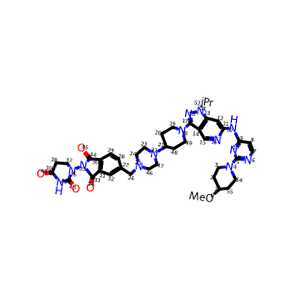 COC1CCN(c2nccc(Nc3cc4c(cn3)c(N3CCC(N5CCN(Cc6ccc7c(c6)C(=O)N(N6CCC(=O)NC6=O)C7=O)CC5)CC3)nn4C(C)C)n2)CC1